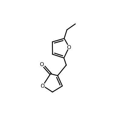 CCc1ccc(CC2=CCOC2=O)o1